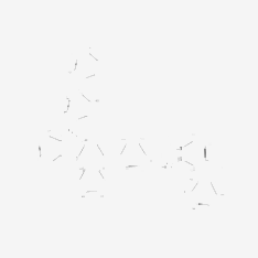 c1ccc(-c2ccc(-n3c4ccccc4c4c5ccccc5c(-c5ccc(C6Nc7c(ccc8sc9ccccc9c78)S6)cc5)cc43)cc2)cc1